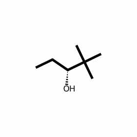 CC[C@@H](O)C(C)(C)C